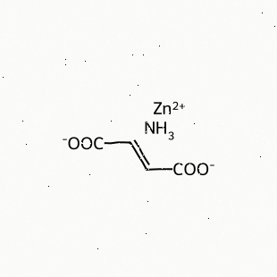 N.O=C([O-])C=CC(=O)[O-].[Zn+2]